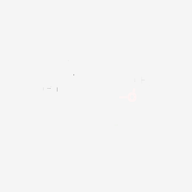 CC(C)(C)C1(c2ccc(F)c(OC(F)(F)F)c2)[CH]C1